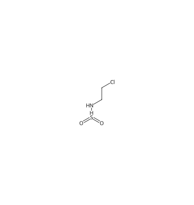 O=[SH](=O)NCCCl